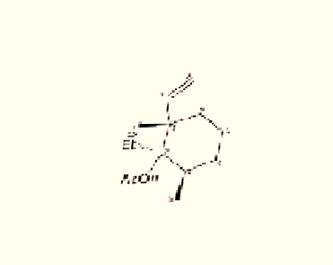 C=C[C@]1(C)CCC[C@@H](C)[C@@]1(CC)OC(C)=O